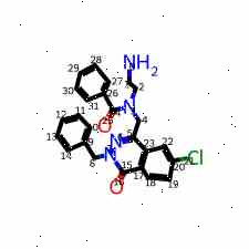 NCCN(Cc1nn(Cc2ccccc2)c(=O)c2ccc(Cl)cc12)C(=O)c1ccccc1